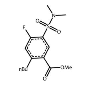 CCCCc1cc(F)c(S(=O)(=O)N(C)C)cc1C(=O)OC